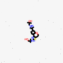 CC(C)(O)Cn1cc(-c2ccc3c(c2)OCCc2sc(NC(C)(C)CO)nc2-3)cn1